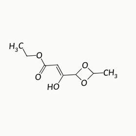 CCOC(=O)C=C(O)C1OC(C)O1